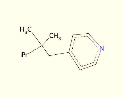 CC(C)C(C)(C)Cc1ccncc1